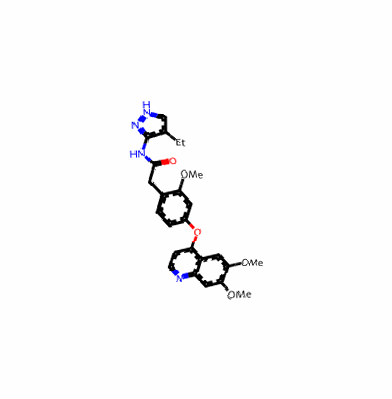 CCc1c[nH]nc1NC(=O)Cc1ccc(Oc2ccnc3cc(OC)c(OC)cc23)cc1OC